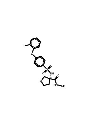 O=C(NO)[C@@]1(NS(=O)(=O)c2ccc(Oc3ccccc3F)cc2)CCOC1